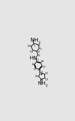 NC1CCC(CNc2ccc(N3CCC(N)C3)cc2)CC1